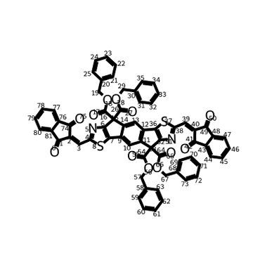 O=C1C(=Cc2nc3c(s2)-c2cc4c(cc2C3(C(=O)OCc2ccccc2)C(=O)OCc2ccccc2)-c2sc(C=C3C(=O)c5ccccc5C3=O)nc2C4(C(=O)OCc2ccccc2)C(=O)OCc2ccccc2)C(=O)c2ccccc21